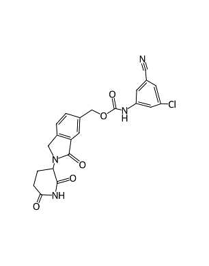 N#Cc1cc(Cl)cc(NC(=O)OCc2ccc3c(c2)C(=O)N(C2CCC(=O)NC2=O)C3)c1